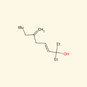 C=C(C/C=C/C(O)(CC)CC)CC(C)(C)C